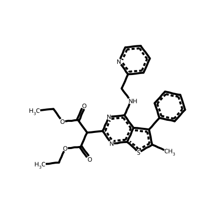 CCOC(=O)C(C(=O)OCC)c1nc(NCc2ccccn2)c2c(-c3ccccc3)c(C)sc2n1